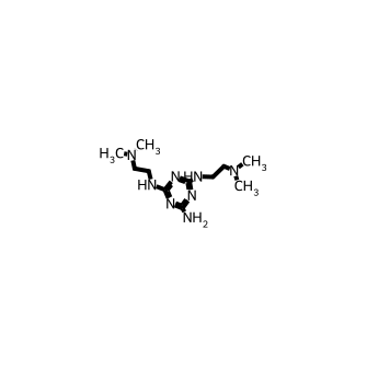 CN(C)CCNc1nc(N)nc(NCCN(C)C)n1